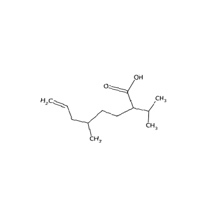 C=CCC(C)CCC(C(=O)O)C(C)C